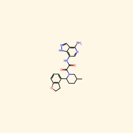 CC1CCC(c2cccc3c2CCO3)N(C(=O)C(=O)Nc2cnc(N)c3cn[nH]c23)C1